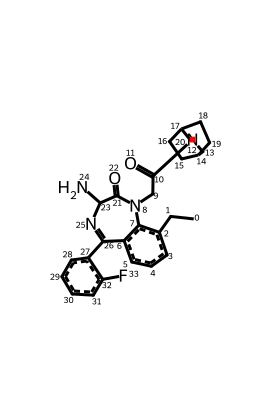 CCc1cccc2c1N(CC(=O)N1CC3CCC(CC3)C1)C(=O)C(N)N=C2c1ccccc1F